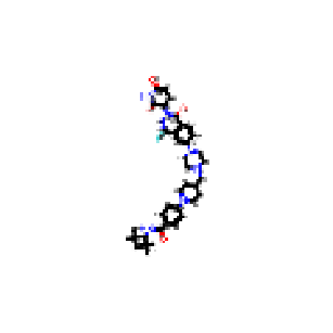 CC1(C)CC(C)(C)C1NC(=O)c1ccc(N2CCC(CN3CCN(c4ccc5c(=O)n(C6CCC(=O)NC6=O)nc(F)c5c4)CC3)CC2)cc1